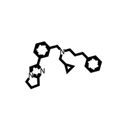 c1ccc(CCCN(Cc2cccc(-c3cn4c(n3)CCC4)c2)CC2CC2)cc1